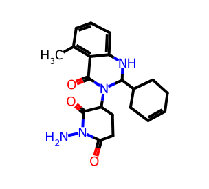 Cc1cccc2c1C(=O)N(C1CCC(=O)N(N)C1=O)C(C1CC=CCC1)N2